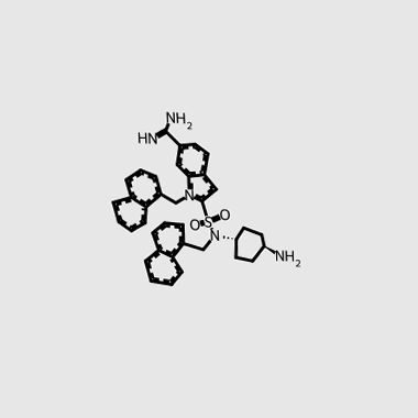 N=C(N)c1ccc2cc(S(=O)(=O)N(Cc3cccc4ccccc34)[C@H]3CC[C@H](N)CC3)n(Cc3cccc4ccccc34)c2c1